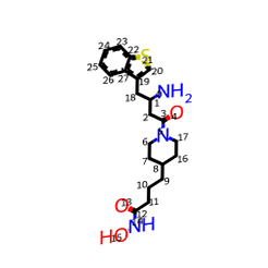 NC(CC(=O)N1CCC(CCCC(=O)NO)CC1)Cc1csc2ccccc12